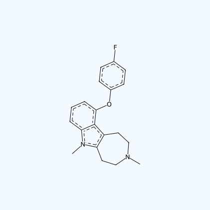 CN1CCc2c(n(C)c3cccc(Oc4ccc(F)cc4)c23)CC1